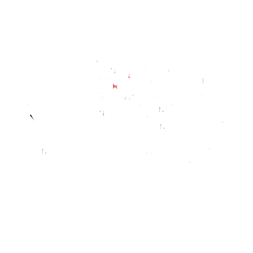 COCOc1cc(-n2ncc3c(N4CC5CCC(C4)N5C(=O)O)nc(OC[C@]45CCCN4C[C@@H](F)C5)cc3c2=O)c2c(C#C[Si](C(C)C)(C(C)C)C(C)C)c(F)ccc2c1